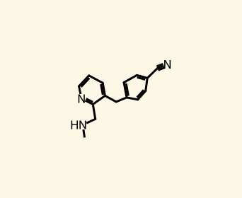 CNCc1ncccc1Cc1ccc(C#N)cc1